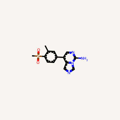 Cc1cc(-c2cnc(N)n3cncc23)ccc1S(C)(=O)=O